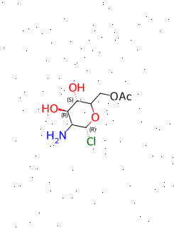 CC(=O)OCC1O[C@H](Cl)C(N)[C@@H](O)[C@@H]1O